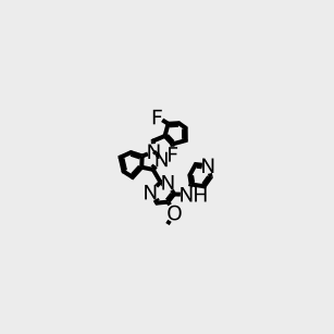 COc1cnc(-c2nn(Cc3c(F)cccc3F)c3ccccc23)nc1Nc1ccncc1